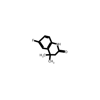 CC1(C)CC(=O)Nc2ccc(F)cc21